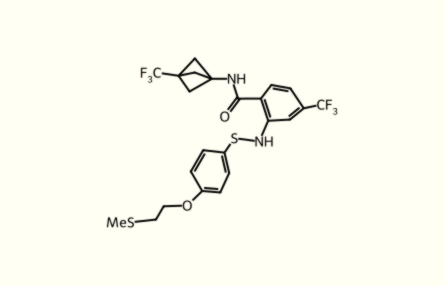 CSCCOc1ccc(SNc2cc(C(F)(F)F)ccc2C(=O)NC23CC(C(F)(F)F)(C2)C3)cc1